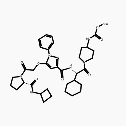 CCCCOC(=O)NC1CCN(C(=O)[C@@H](NC(=O)c2cc(OCC(=O)N3CCC[C@H]3C(=O)NC3CCC3)n(-c3ccccc3)n2)C2CCCCC2)CC1